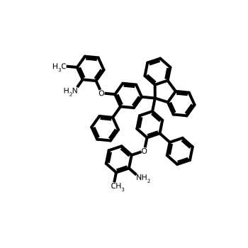 Cc1cccc(Oc2ccc(C3(c4ccc(Oc5cccc(C)c5N)c(-c5ccccc5)c4)c4ccccc4-c4ccccc43)cc2-c2ccccc2)c1N